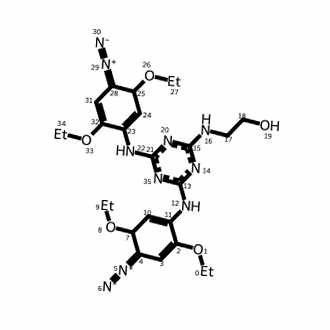 CCOC1=CC(=[N+]=[N-])C(OCC)C=C1Nc1nc(NCCO)nc(NC2=CC(OCC)C(=[N+]=[N-])C=C2OCC)n1